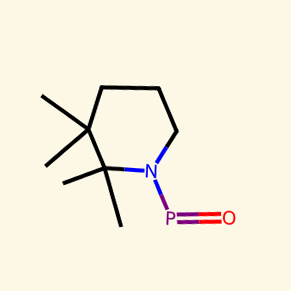 CC1(C)CCCN(P=O)C1(C)C